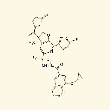 C[C@]1(C(=O)N2CCC(=O)C2)COc2c1cc(C(O)(CNC(=O)c1cc(OC3CC3)c3ncccc3c1)C(F)(F)F)nc2-c1ccc(F)cc1